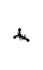 O[C@H]1Cc2c(OCc3ccccc3)cc(OCc3ccccc3)cc2O[C@@H]1c1ccc(OCc2ccccc2)c(F)c1